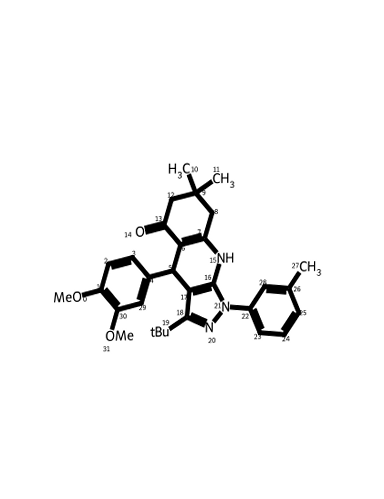 COc1ccc(C2C3=C(CC(C)(C)CC3=O)Nc3c2c(C(C)(C)C)nn3-c2cccc(C)c2)cc1OC